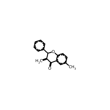 C=C1C(=O)c2cc(C)ccc2OC1c1ccccc1